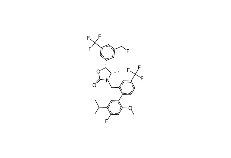 COc1cc(F)c(C(C)C)cc1-c1ccc(C(F)(F)F)cc1CN1C(=O)O[C@H](c2cc(CF)cc(C(F)(F)F)c2)[C@@H]1C